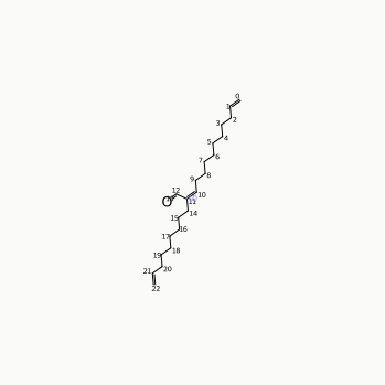 C=CCCCCCCCC/C=C(\C=O)CCCCCCCC=C